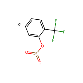 O=[S-](=O)Oc1ccccc1C(F)(F)F.[K+]